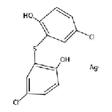 Oc1ccc(Cl)cc1Sc1cc(Cl)ccc1O.[Ag]